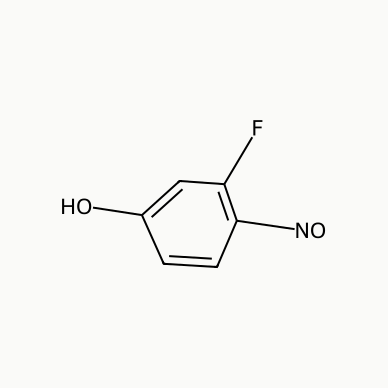 O=Nc1ccc(O)cc1F